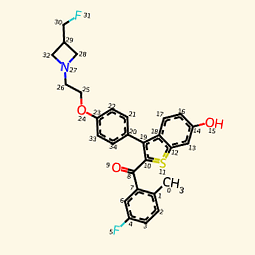 Cc1ccc(F)cc1C(=O)c1sc2cc(O)ccc2c1-c1ccc(OCCN2CC(CF)C2)cc1